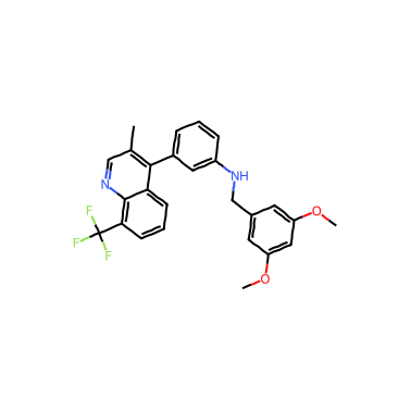 COc1cc(CNc2cccc(-c3c(C)cnc4c(C(F)(F)F)cccc34)c2)cc(OC)c1